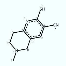 CN1CCc2nc(S)c(C#N)cc2C1